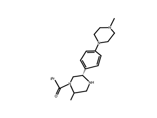 CC(C)C(=O)N1C[C@H](c2ccc(N3CCN(C)CC3)cc2)NCC1C